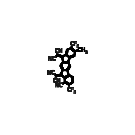 Cc1cc2c(cc1C(F)(F)F)C(=C(C#N)C#N)c1cc3c(cc1-2)-c1ccc(C(F)(F)F)c(C#N)c1C3=C(C#N)C#N